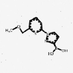 COCc1cccc(-n2ccc(B(O)O)n2)n1